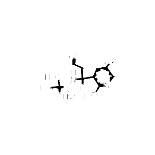 CC(CC=O)(N[S+]([O-])C(C)(C)C)c1cc(Br)cnc1F